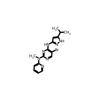 CC(C)c1cc(Nc2nc(N(C)c3ccccn3)ncc2Br)n[nH]1